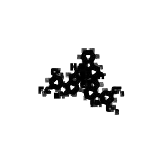 CCCc1ccc2c(c1-c1cc(C(F)(F)F)cc(C(F)(F)F)c1)C=C(C(C)C)[CH]2[Zr]([Cl])([Cl])([c]1cccc2c1[SiH2]c1ccccc1-2)[CH]1C(C(C)C)=Cc2c1ccc(CCC)c2-c1cc(C(F)(F)F)cc(C(F)(F)F)c1